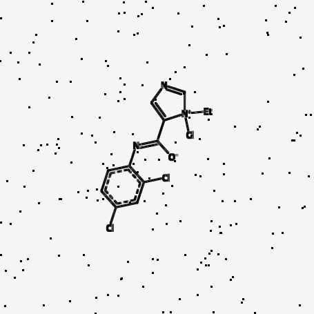 CC[N+]1(Cl)C=NC=C1C([O-])=Nc1ccc(Cl)cc1Cl